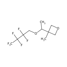 CC(OCC(F)(F)C(F)(F)C(F)(F)F)C1(C)COC1